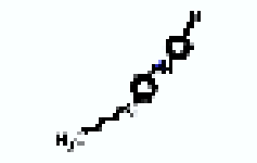 CCCCCCOc1ccc(/C=N/c2ccc(C#N)cc2)cc1